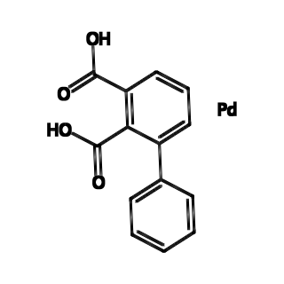 O=C(O)c1cccc(-c2ccccc2)c1C(=O)O.[Pd]